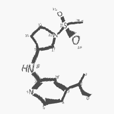 CC(C)c1ccnc(NC2CCN(S(C)(=O)=O)C2)c1